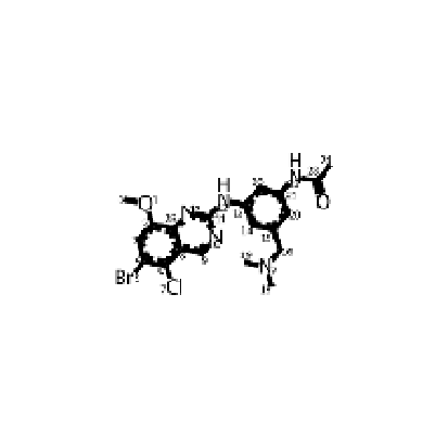 COc1cc(Br)c(Cl)c2cnc(Nc3cc(CN(C)C)cc(NC(C)=O)c3)nc12